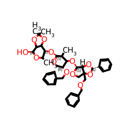 CC1C(O[C@@H]2OCC3(COCc4ccccc4)O[C@@H](c4ccccc4)O[C@H]23)[C@H](OCc2ccccc2)CO[C@H]1O[C@H]1C(C)O[C@@H](O)C2OC(C)(C)OC21